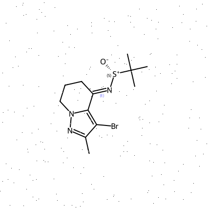 Cc1nn2c(c1Br)/C(=N/[S@+]([O-])C(C)(C)C)CCC2